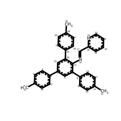 Cc1ccc(-c2cc(-c3ccc(C)cc3)c(/N=C/c3ccccn3)c(-c3ccc(C)cc3)c2)cc1